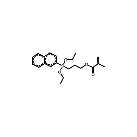 C=C(C)C(=O)OCCC[Si](OCC)(OCC)c1ccc2ccccc2c1